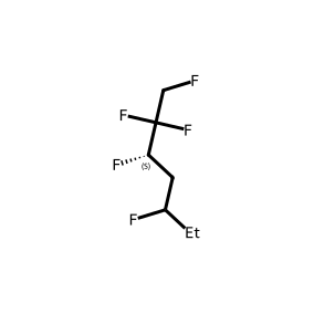 [CH2]CC(F)C[C@H](F)C(F)(F)CF